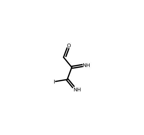 N=C(I)C(=N)C=O